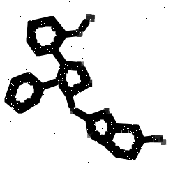 CCOc1ccccc1-c1nnc(Sc2nc3ccc([N+](=O)[O-])cc3s2)n1-c1ccccc1